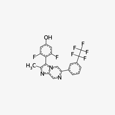 Cc1nc2cnc(-c3cccc(C(F)(F)C(F)(F)F)c3)cn2c1-c1c(F)cc(O)cc1F